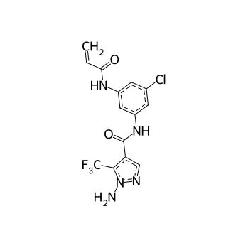 C=CC(=O)Nc1cc(Cl)cc(NC(=O)c2cnn(N)c2C(F)(F)F)c1